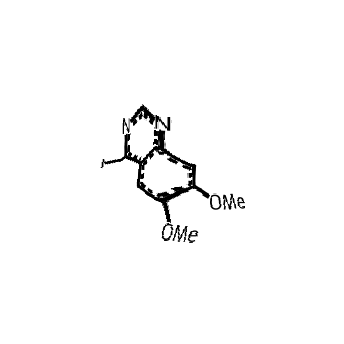 COc1cc2ncnc(I)c2cc1OC